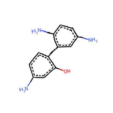 Nc1ccc(-c2cc(N)ccc2N)c(O)c1